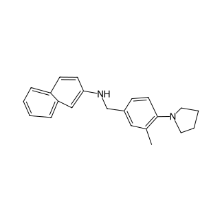 Cc1cc(CNc2ccc3ccccc3c2)ccc1N1CCCC1